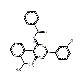 CC(C)c1ccccc1-n1c(=O)cc(-c2cccc(Cl)c2)s/c1=N\C(=O)c1ccccc1